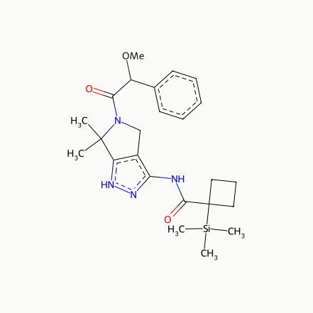 COC(C(=O)N1Cc2c(NC(=O)C3([Si](C)(C)C)CCC3)n[nH]c2C1(C)C)c1ccccc1